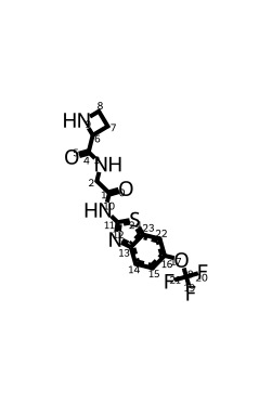 O=C(CNC(=O)C1CCN1)Nc1nc2ccc(OC(F)(F)F)cc2s1